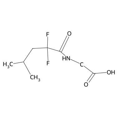 CC(C)CC(F)(F)C(=O)NCC(=O)O